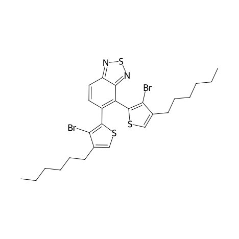 CCCCCCc1csc(-c2ccc3nsnc3c2-c2scc(CCCCCC)c2Br)c1Br